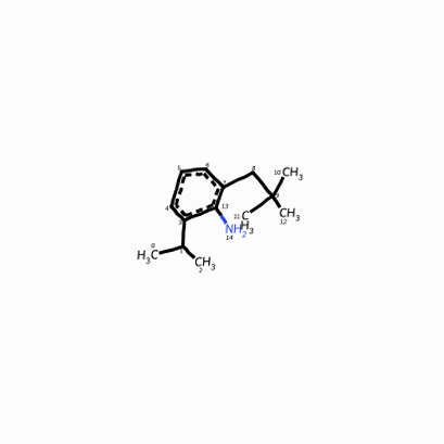 CC(C)c1cccc(CC(C)(C)C)c1N